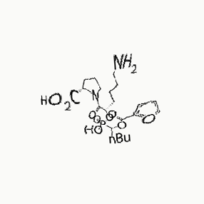 CCCCC(OC(=O)c1ccco1)P(=O)(O)O[C@@H](CCCCN)C(=O)N1CCC[C@H]1C(=O)O